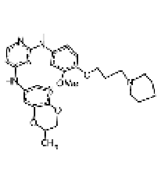 COc1cc(Nc2nccc(Nc3cnc4c(c3)OC(C)CO4)n2)ccc1OCCCN1CCCCC1